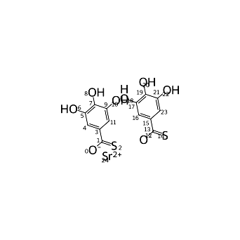 [O-]C(=S)c1cc(O)c(O)c(O)c1.[O-]C(=S)c1cc(O)c(O)c(O)c1.[Sr+2]